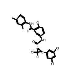 O=C(Nc1ccc(I)cc1F)c1cc(NC(=O)[C@@H]2[C@@H](c3cc(Cl)cc(Cl)c3)C2(Cl)Cl)ccc1Cl